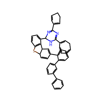 C1=CCC=C(C2=NC(C3=CCCC=C3)=NC(c3cccc4c3C3C=C(c5ccccc5-c5cccc(-c6ccccc6)c5)C=CC3S4)N2)C=C1